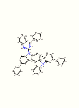 c1ccc(-c2ccc3c(c2)c2c4c5ccccc5n5c6cc(-c7ccccc7)ccc6c(cc2n3-c2nc(-c3ccccc3)c3ccccc3n2)c45)cc1